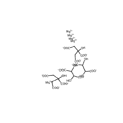 O=C([O-])C(O)C(O)C(=O)[O-].O=C([O-])C(O)C(O)C(=O)[O-].O=C([O-])CC(O)(CC(=O)[O-])C(=O)[O-].O=C([O-])CC(O)(CC(=O)[O-])C(=O)[O-].[Mg+2].[Mg+2].[Mg+2].[Mg+2].[Mg+2]